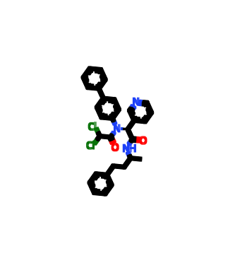 CC(CCc1ccccc1)NC(=O)[C@@H](c1cccnc1)N(C(=O)C(Cl)Cl)c1ccc(-c2ccccc2)cc1